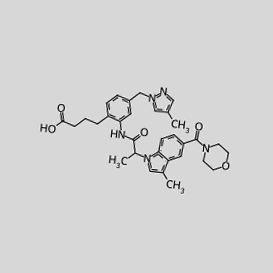 Cc1cnn(Cc2ccc(CCCC(=O)O)c(NC(=O)C(C)n3cc(C)c4cc(C(=O)N5CCOCC5)ccc43)c2)c1